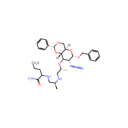 C[C@H](CN[C@@H](C)CNC(CCC(=O)O)C(N)=O)O[C@@H]1[C@@H](N=[N+]=[N-])[C@@H](OCc2ccccc2)O[C@@H]2CO[C@@H](c3ccccc3)O[C@@H]12